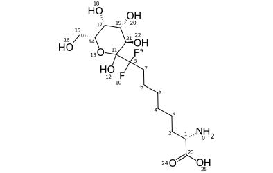 N[C@@H](CCCCCCC(F)(F)C1(O)O[C@H](CO)[C@H](O)[C@H](O)[C@H]1O)C(=O)O